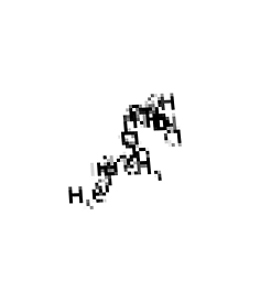 COCc1cc(CN(C)C(=O)c2ccc(C[C@@H]3CC[C@H]([C@H](O)c4ccc(Cl)nc4)N3)cc2)n[nH]1